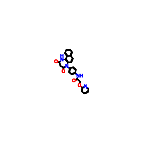 O=C(COc1ccccn1)Nc1ccc(N2C(=O)CC(=O)Nc3c2ccc2ccccc32)cc1